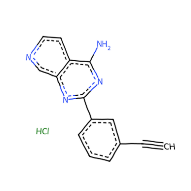 C#Cc1cccc(-c2nc(N)c3ccncc3n2)c1.Cl